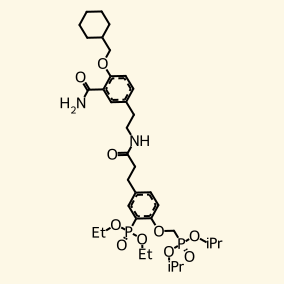 CCOP(=O)(OCC)c1cc(CCC(=O)NCCc2ccc(OCC3CCCCC3)c(C(N)=O)c2)ccc1OCP(=O)(OC(C)C)OC(C)C